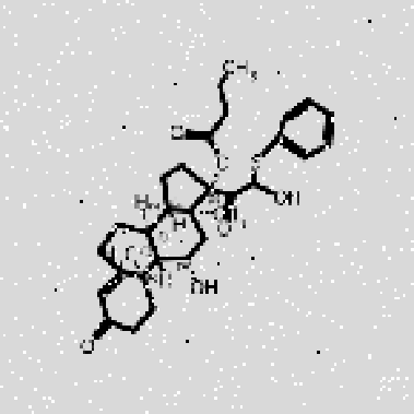 CCCC(=O)O[C@@]1(C(=O)C(O)Sc2ccccc2)CC[C@H]2[C@@H]3CCC4=CC(=O)CC[C@]4(C)[C@H]3[C@@H](O)C[C@@]21C